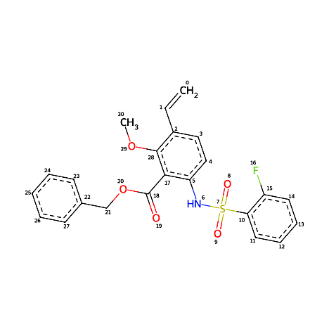 C=Cc1ccc(NS(=O)(=O)c2ccccc2F)c(C(=O)OCc2ccccc2)c1OC